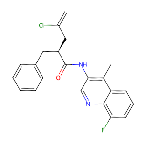 C=C(Cl)C[C@H](Cc1ccccc1)C(=O)Nc1cnc2c(F)cccc2c1C